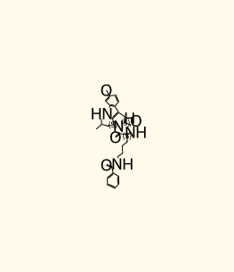 COc1ccc2c3c([nH]c2c1)[C@H](CC(C)C)N1C(=O)[C@H](CCCCNC(=O)c2ccccc2)NC(=O)[C@@H]1C3